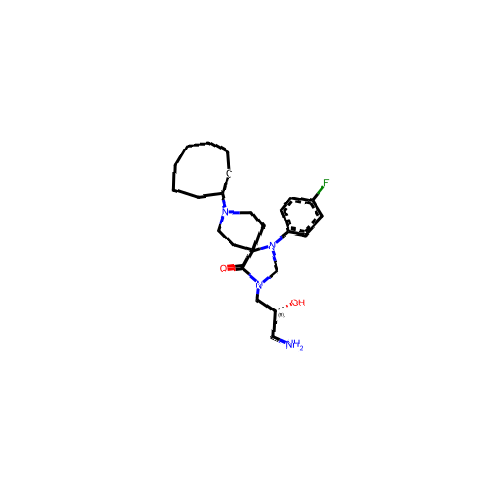 NC[C@@H](O)CN1CN(c2ccc(F)cc2)C2(CCN(C3CCCCCCC3)CC2)C1=O